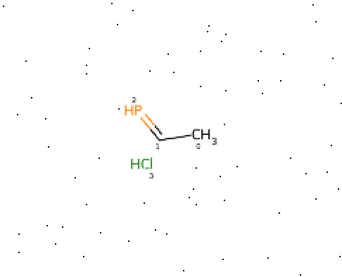 CC=P.Cl